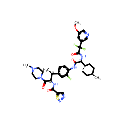 COc1cncc(C(F)(F)C(=O)N[C@H](C(=O)Nc2ccc([C@H](C)[C@@H](NC(=O)c3cnns3)C(=O)N3CCN(C)CC3)cc2F)[C@H]2CC[C@H](C)CC2)c1